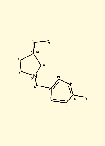 CC[C@@H]1CCN(Cc2ccc(C)cc2)C1